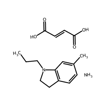 CCCN1CCc2ccc(C)cc21.N.O=C(O)C=CC(=O)O